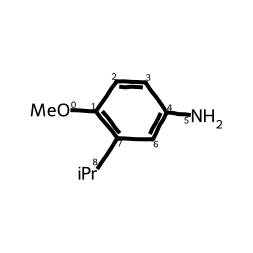 COc1ccc(N)cc1C(C)C